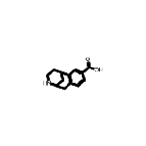 O=C(O)c1ccc2c(c1)C1CCNC(C2)C1